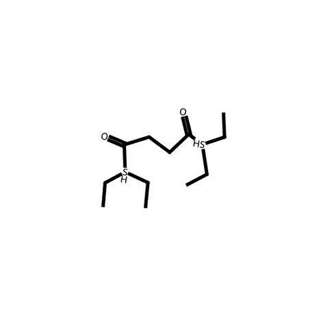 CC[SH](CC)C(=O)CCC(=O)[SH](CC)CC